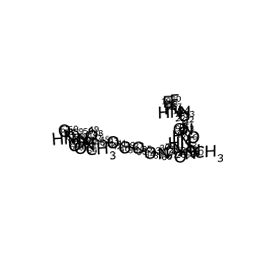 Cn1cc(NC(=O)c2coc(-c3ccnc(NCC(F)(F)F)c3)n2)c(C(=O)NC2CCN(CCOCCOCCOCCOCCCc3cccc4c3n(C)c(=O)n4C3CCC(=O)NC3=O)CC2)n1